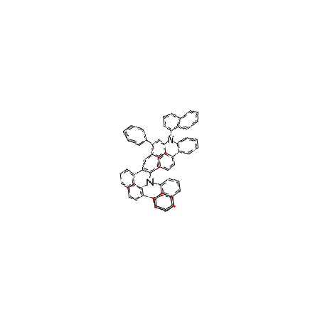 c1ccc(-c2ccccc2N(c2cc(-c3ccccc3)c3cc(-c4ccccc4)c(N(c4ccccc4-c4ccccc4)c4cccc5ccccc45)cc3c2)c2cccc3ccccc23)cc1